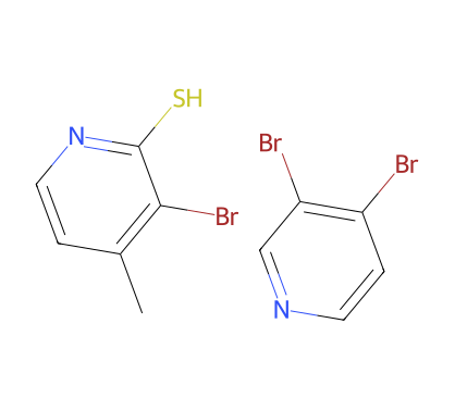 Brc1ccncc1Br.Cc1ccnc(S)c1Br